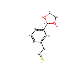 S=CCc1cccc(C2OCCO2)c1